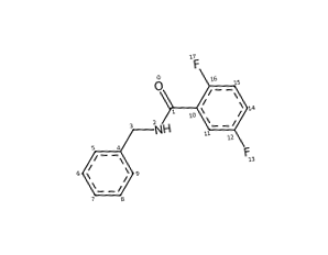 O=C(NCc1ccccc1)c1cc(F)ccc1F